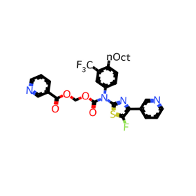 CCCCCCCCc1ccc(N(C(=O)OCOC(=O)c2cccnc2)c2nc(-c3cccnc3)c(F)s2)cc1C(F)(F)F